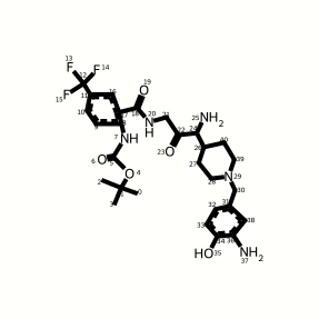 CC(C)(C)OC(=O)Nc1ccc(C(F)(F)F)cc1C(=O)NCC(=O)C(N)C1CCN(Cc2ccc(O)c(N)c2)CC1